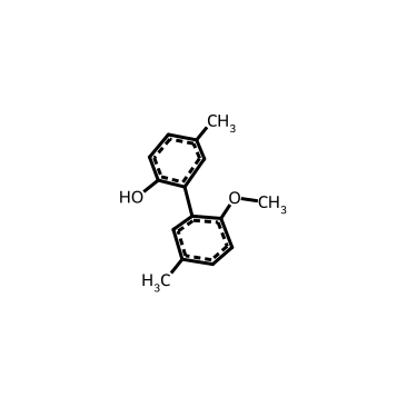 COc1ccc(C)cc1-c1cc(C)ccc1O